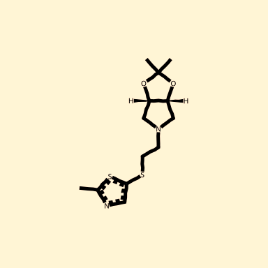 Cc1ncc(SCCN2C[C@@H]3OC(C)(C)O[C@@H]3C2)s1